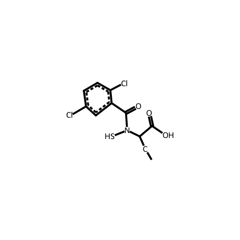 CCC(C(=O)O)N(S)C(=O)c1cc(Cl)ccc1Cl